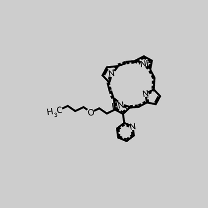 CCCCOCCc1c(-c2ccccn2)c2cc3nc(cc4ccc(cc5nc(cc1[nH]2)C=C5)[nH]4)C=C3